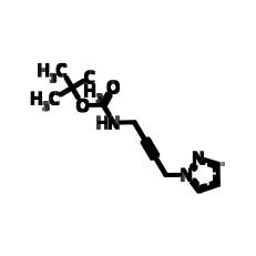 CC(C)(C)OC(=O)NCC#CCn1cc[c]n1